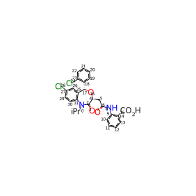 CC(C)N1C(=O)[C@H](CC(=O)Nc2ccccc2C(=O)O)O[C@@H](c2ccccc2Cl)c2cc(Cl)ccc21